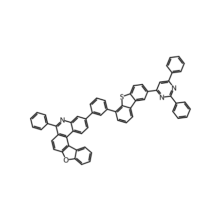 c1ccc(-c2cc(-c3ccc4sc5c(-c6cccc(-c7ccc8c(c7)nc(-c7ccccc7)c7ccc9oc%10ccccc%10c9c78)c6)cccc5c4c3)nc(-c3ccccc3)n2)cc1